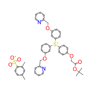 CC(C)(C)OC(=O)COc1ccc([S+](c2cccc(OCc3ccccn3)c2)c2cccc(OCc3ccccn3)c2)cc1.Cc1ccc(S(=O)(=O)[O-])c(C)c1